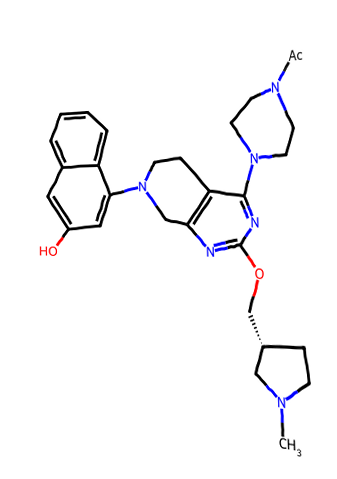 CC(=O)N1CCN(c2nc(OC[C@@H]3CCN(C)C3)nc3c2CCN(c2cc(O)cc4ccccc24)C3)CC1